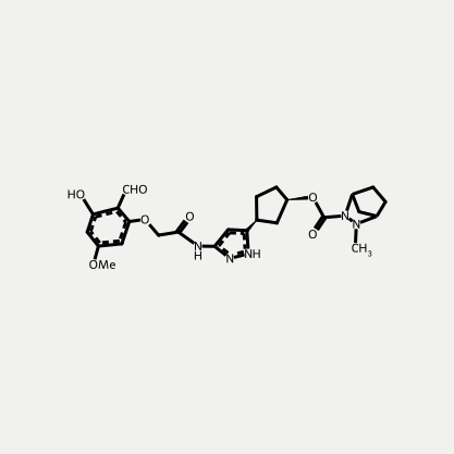 COc1cc(O)c(C=O)c(OCC(=O)Nc2cc([C@H]3CC[C@@H](OC(=O)N4C5CCC(C5)N4C)C3)[nH]n2)c1